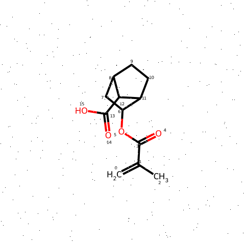 C=C(C)C(=O)OC1CC2CCC1C2C(=O)O